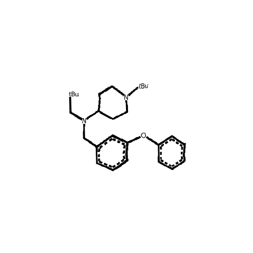 CC(C)(C)CN(Cc1cccc(Oc2ccccc2)c1)C1CCN(C(C)(C)C)CC1